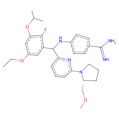 CCOc1cc(OC(C)C)c(F)c(C(Nc2ccc(C(=N)N)cc2)c2cccc(N3CCC[C@@H]3COC)n2)c1